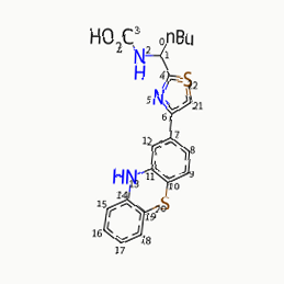 CCCCC(NC(=O)O)c1nc(-c2ccc3c(c2)Nc2ccccc2S3)cs1